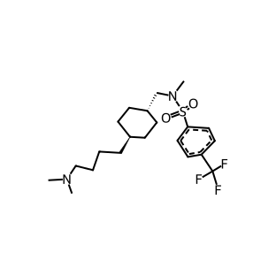 CN(C)CCCC[C@H]1CC[C@H](CN(C)S(=O)(=O)c2ccc(C(F)(F)F)cc2)CC1